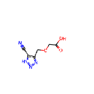 N#Cc1[nH]nnc1COCC(=O)O